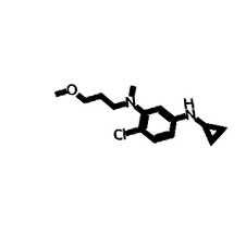 COCCCN(C)c1cc(NC2CC2)ccc1Cl